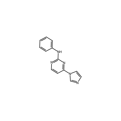 c1ccc(Nc2nccc(-n3ccnc3)n2)cc1